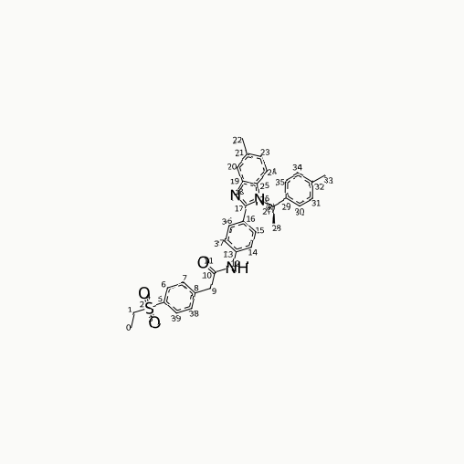 CCS(=O)(=O)c1ccc(CC(=O)Nc2ccc(-c3nc4cc(C)ccc4n3[C@H](C)c3ccc(C)cc3)cc2)cc1